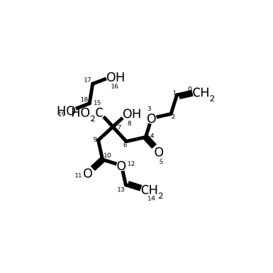 C=CCOC(=O)CC(O)(CC(=O)OC=C)C(=O)O.OCCO